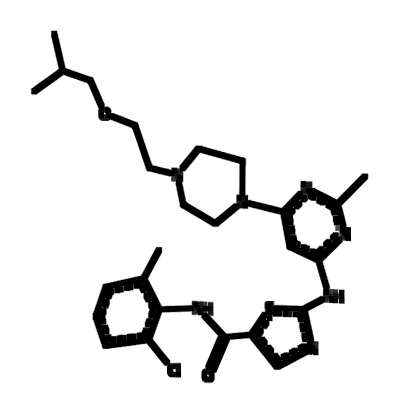 Cc1nc(Nc2ncc(C(=O)Nc3c(C)cccc3Cl)s2)cc(N2CCN(CCOCC(C)C)CC2)n1